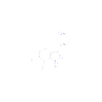 Fc1ccc2c(C3=CCC=NC3)n[nH]c2c1F